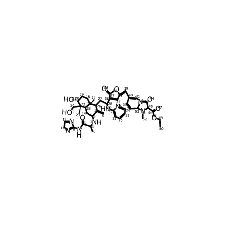 C=C1C(NC(C)C(=O)NC2=NCC=N2)CC2[C@](C)(CC[C@@H](O)[C@@]2(C)CO)C1CC(Nc1ccccn1)C1=C/C(=C\C2=CN3C(=O)C(C(=O)OCC)N(C)C3C=C2)OC1=O